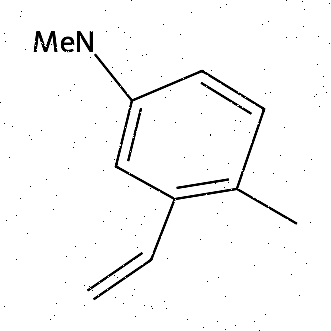 C=Cc1cc(NC)ccc1C